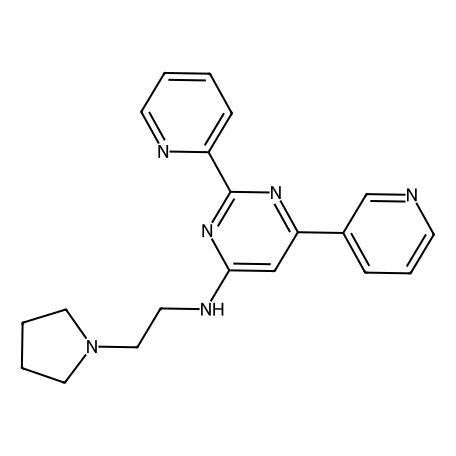 c1ccc(-c2nc(NCCN3CCCC3)cc(-c3cccnc3)n2)nc1